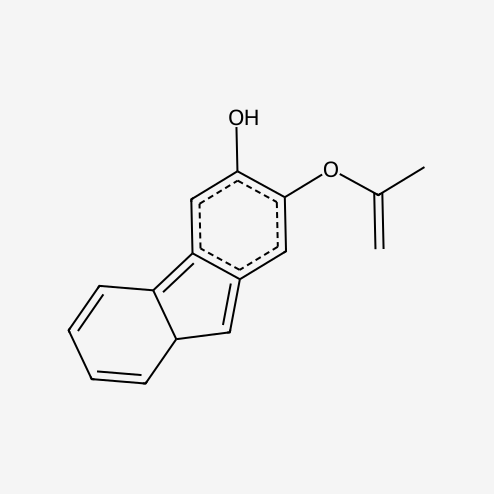 C=C(C)Oc1cc2c(cc1O)=C1C=CC=CC1C=2